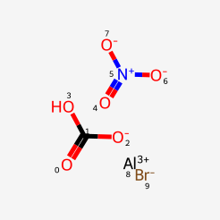 O=C([O-])O.O=[N+]([O-])[O-].[Al+3].[Br-]